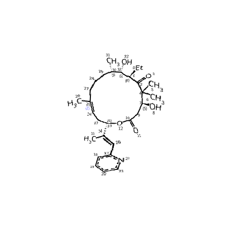 CC[C@H]1C(=O)C(C)(C)[C@@H](O)CC(=O)O[C@H](C(C)=Cc2ccccn2)C/C=C(/C)CCC[C@H](C)[C@@H]1O